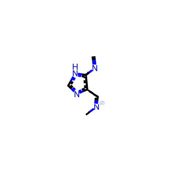 C=Nc1[nH]cnc1/C=N\C